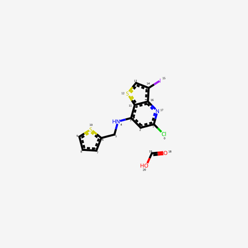 Clc1cc(NCc2cccs2)c2scc(I)c2n1.O=CO